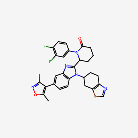 Cc1noc(C)c1-c1ccc2c(c1)nc(C1CCCC(=O)N1c1ccc(F)c(F)c1)n2C1CCc2ncsc2C1